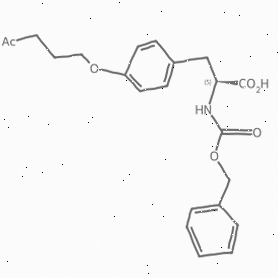 CC(=O)CCCOc1ccc(C[C@H](NC(=O)OCc2ccccc2)C(=O)O)cc1